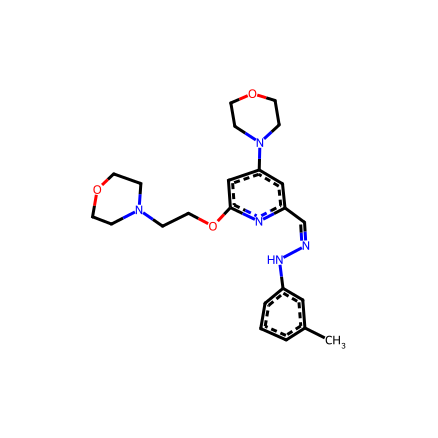 Cc1cccc(N/N=C\c2cc(N3CCOCC3)cc(OCCN3CCOCC3)n2)c1